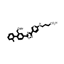 COCc1cc(-c2nc(-c3ccc(NCCCC(=O)O)nc3)no2)ccc1-c1ccccc1C